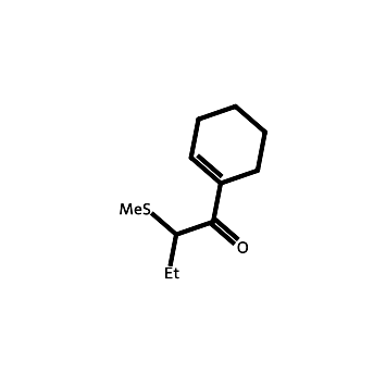 CCC(SC)C(=O)C1=CCCCC1